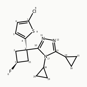 F[C@H]1C[C@@](c2ccc(Cl)s2)(c2nnc(C3CC3)n2C2CC2)C1